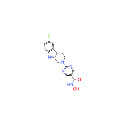 O=C(NO)c1cnc(N2CCC3C(=Nc4ccc(F)cc43)C2)nc1